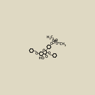 CCOP(=O)(COc1ccc(-c2oc3cc(OCc4ccccc4)cc(O)c3c(=O)c2OCc2ccccc2)cc1)OCC